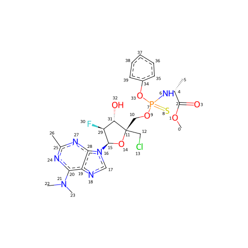 COC(=O)[C@@H](C)NP(=S)(OC[C@@]1(CCl)O[C@@H](n2cnc3c(N(C)C)nc(C)nc32)[C@@H](F)[C@@H]1O)Oc1ccccc1